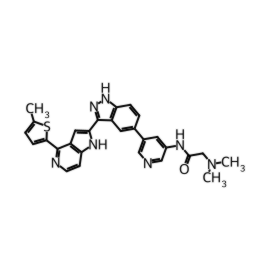 Cc1ccc(-c2nccc3[nH]c(-c4n[nH]c5ccc(-c6cncc(NC(=O)CN(C)C)c6)cc45)cc23)s1